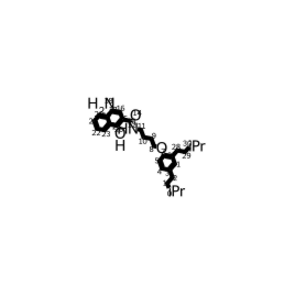 CC(C)CCc1ccc(OCCCCNC(=O)c2cc(N)c3ccccc3c2O)c(CCC(C)C)c1